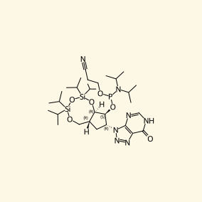 CC(C)N(C(C)C)P(OCCC#N)O[C@@H]1[C@@H]2O[Si](C(C)C)(C(C)C)O[Si](C(C)C)(C(C)C)OC[C@H]2C[C@H]1n1nnc2c(=O)[nH]cnc21